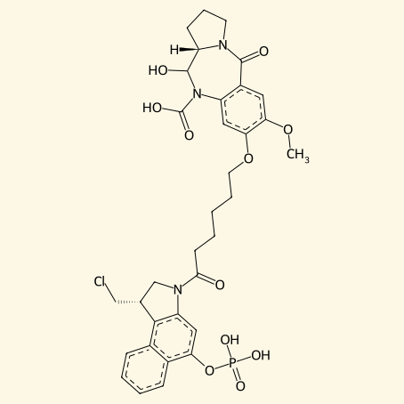 COc1cc2c(cc1OCCCCCC(=O)N1C[C@@H](CCl)c3c1cc(OP(=O)(O)O)c1ccccc31)N(C(=O)O)C(O)[C@@H]1CCCN1C2=O